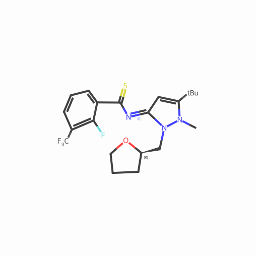 Cn1c(C(C)(C)C)c/c(=N\C(=S)c2cccc(C(F)(F)F)c2F)n1C[C@H]1CCCO1